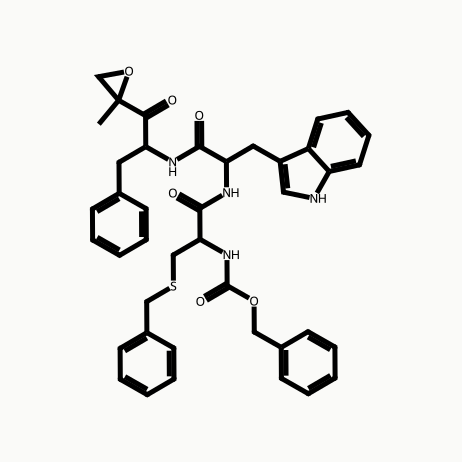 CC1(C(=O)C(Cc2ccccc2)NC(=O)C(Cc2c[nH]c3ccccc23)NC(=O)C(CSCc2ccccc2)NC(=O)OCc2ccccc2)CO1